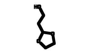 OCCC1OCCO1